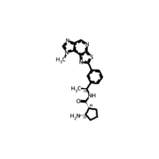 C[C@H](NC(=O)[C@@H]1CCC[C@@H]1N)c1cccc(-c2nc3c(ncc4ncn(C)c43)s2)c1